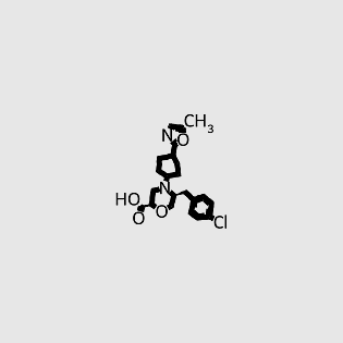 Cc1cnc(C2CCC(N3C[C@H](C(=O)O)OC[C@@H]3Cc3ccc(Cl)cc3)CC2)o1